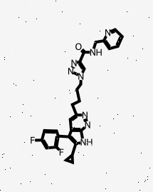 O=C(NCc1ccccn1)c1cn(CCCCc2cc3c(-c4ccc(F)cc4F)c(C4CC4)[nH]c3nn2)nn1